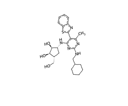 Cc1nc(NCC2CCCCC2)nc(N[C@@H]2C[C@H](CO)[C@@H](O)[C@H]2O)c1-c1nc2ccccc2s1